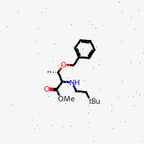 COC(=O)C(NCCC(C)(C)C)[C@H](C)OCc1ccccc1